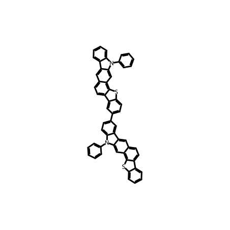 c1ccc(-n2c3ccccc3c3cc4ccc5c6cc(-c7ccc8c(c7)c7cc9ccc%10c%11ccccc%11sc%10c9cc7n8-c7ccccc7)ccc6sc5c4cc32)cc1